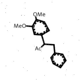 COc1ccc(C(Cc2ccccc2)C(C)=O)cc1OC